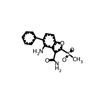 CS(=O)(=O)c1oc2ccc(-c3ccccc3)c(N)c2c1C(N)=O